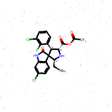 CC(C)(C)C[C@@H]1N[C@@H](C(=O)OC(=O)C(F)(F)F)[C@H](c2cccc(Cl)c2F)C12C(=O)Nc1cc(Cl)ccc12